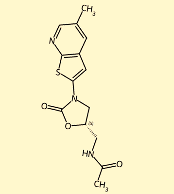 CC(=O)NC[C@H]1CN(c2cc3cc(C)cnc3s2)C(=O)O1